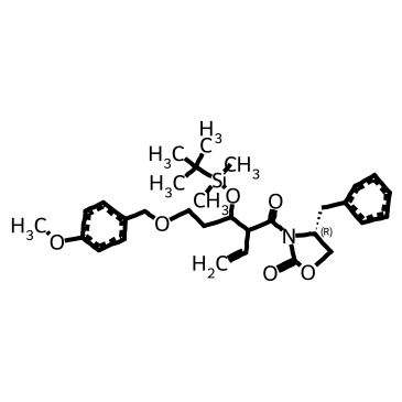 C=CC(C(=O)N1C(=O)OC[C@H]1Cc1ccccc1)C(CCOCc1ccc(OC)cc1)O[Si](C)(C)C(C)(C)C